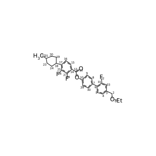 CCOCc1ccc(-c2ccc(OC(=O)c3ccc(C4CCC(C)CC4)c(F)c3F)cc2)c(F)c1